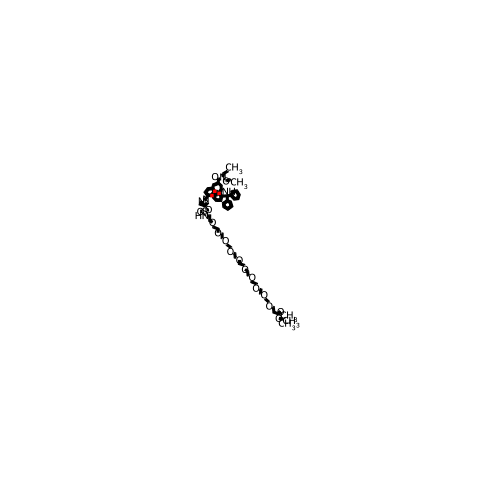 CCCN(OCC)C(=O)C1=Cc2ccc(-n3cc(S(=O)(=O)NCCOCCOCCOCCOCCOCCOCCOCCOCCOCCOCCC(=O)OC(C)(C)C)cn3)cc2N=C(NC(c2ccccc2)(c2ccccc2)c2ccccc2)C1